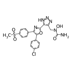 CS(=O)(=O)c1ccc(-c2nc(-c3[nH]nnc3CN(O)C(N)=O)oc2-c2ccc(Cl)cc2)cc1